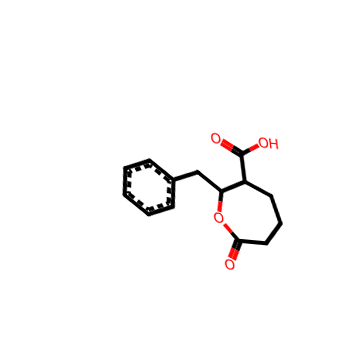 O=C1CCCC(C(=O)O)C(Cc2ccccc2)O1